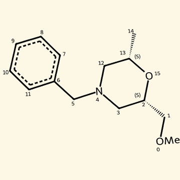 COC[C@@H]1CN(Cc2ccccc2)C[C@H](C)O1